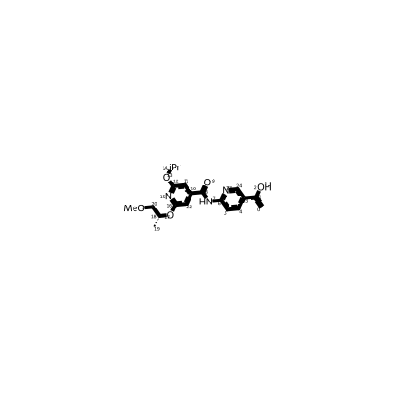 C=C(O)c1ccc(NC(=O)c2cc(OC(C)C)nc(O[C@H](C)COC)c2)nc1